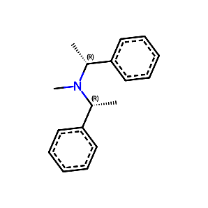 C[C@H](c1ccccc1)N(C)[C@H](C)c1ccccc1